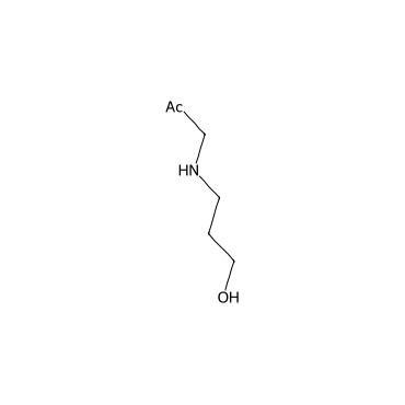 CC(=O)CNCCCO